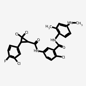 CNc1ccc(NC(=O)c2cc(NC(=O)C3C(c4ccc(F)c(Cl)c4)C3(Cl)Cl)ccc2Cl)c(C)c1